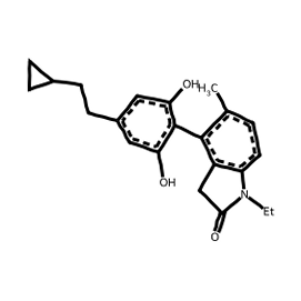 CCN1C(=O)Cc2c1ccc(C)c2-c1c(O)cc(CCC2CC2)cc1O